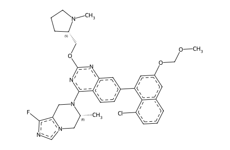 COCOc1cc(-c2ccc3c(N4Cc5c(F)ncn5C[C@H]4C)nc(OC[C@@H]4CCCN4C)nc3c2)c2c(Cl)cccc2c1